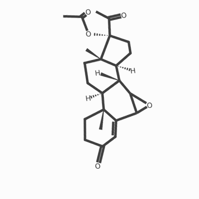 CC(=O)O[C@]1(C(C)=O)CC[C@H]2[C@@H]3C4OC4C4=CC(=O)CC[C@]4(C)[C@H]3CC[C@@]21C